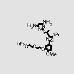 CCCOCCOCCOc1cc(-c2nc(C(C)Sc3nc(N)cc(N)n3)c(CCC)s2)ccc1OC